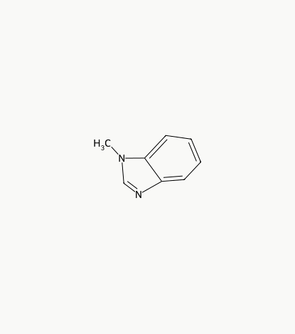 Cn1cnc2ccccc21